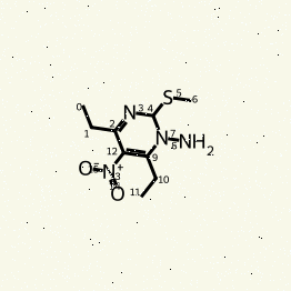 CCC1=NC(SC)N(N)C(CC)=C1[N+](=O)[O-]